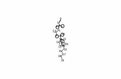 C=CC(=O)OCC(C)OC(=O)C12CCC(CCCCC)(CC1)CC2